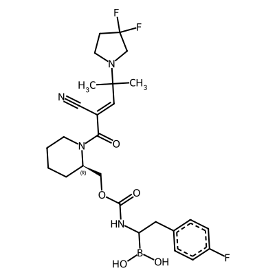 CC(C)(C=C(C#N)C(=O)N1CCCC[C@@H]1COC(=O)NC(Cc1ccc(F)cc1)B(O)O)N1CCC(F)(F)C1